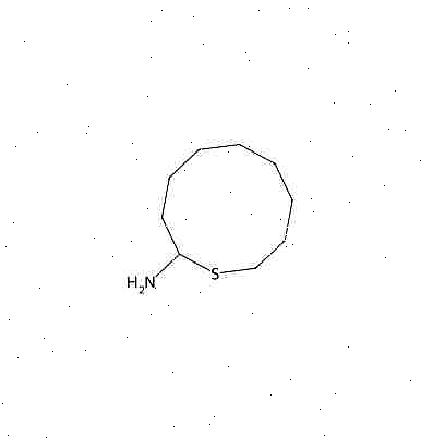 NC1CCCCCCCCS1